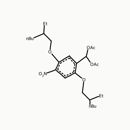 CCCCC(CC)COc1cc([N+](=O)[O-])c(OCC(CC)CCCC)cc1C(OC(C)=O)OC(C)=O